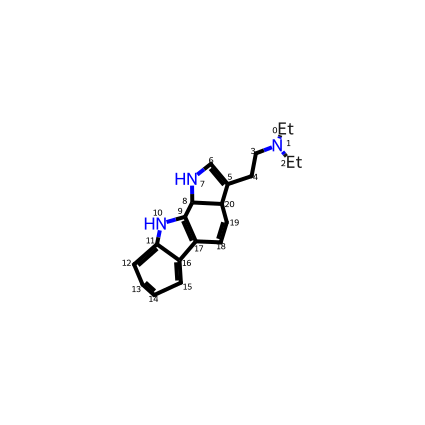 CCN(CC)CCC1=CNC2c3[nH]c4ccccc4c3C=CC12